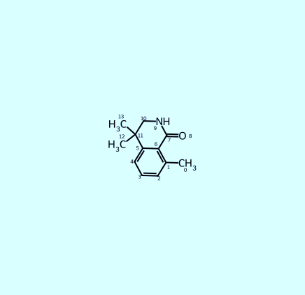 Cc1cccc2c1C(=O)NCC2(C)C